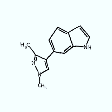 Cc1nn(C)cc1-c1ccc2cc[nH]c2c1